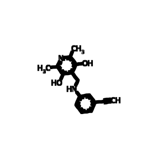 C#Cc1cccc(NCc2c(O)c(C)nc(C)c2O)c1